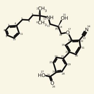 CC(C)(CCCc1ccccc1)NC[C@@H](O)COc1cc(-c2ccc(C(=O)O)cc2)ccc1C#N